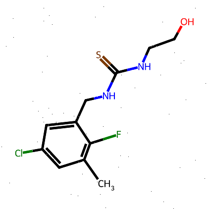 Cc1cc(Cl)cc(CNC(=S)NCCO)c1F